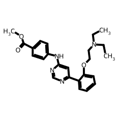 CCN(CC)CCOc1ccccc1-c1cc(Nc2ccc(C(=O)OC)cc2)ncn1